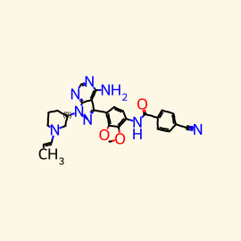 CC=CN1CCC[C@@H](n2nc(-c3ccc(NC(=O)c4ccc(C#N)cc4)c4c3OCO4)c3c(N)ncnc32)C1